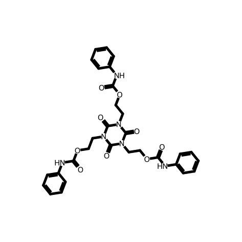 O=C(Nc1ccccc1)OCCn1c(=O)n(CCOC(=O)Nc2ccccc2)c(=O)n(CCOC(=O)Nc2ccccc2)c1=O